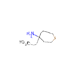 NC1(CC(=O)O)CCSCC1